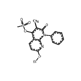 CCOc1ccc2c(OS(C)(=O)=O)c(C#N)c(=O)n(-c3ccccc3)c2n1